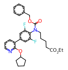 CCOC(=O)CCCCN(C(=O)OCc1ccccc1)c1c(F)cc(-c2cccnc2OC2CCCC2)cc1F